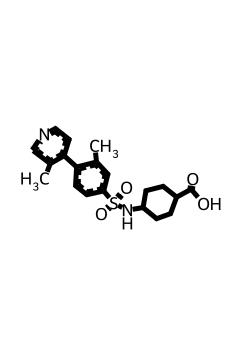 Cc1cnccc1-c1ccc(S(=O)(=O)NC2CCC(C(=O)O)CC2)cc1C